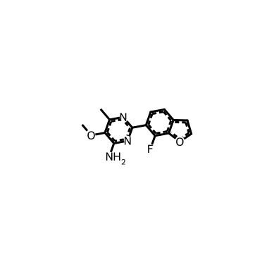 COc1c(C)nc(-c2ccc3ccoc3c2F)nc1N